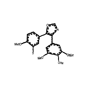 COc1ccc(-c2ocnc2-c2cc(OC)c(OC)c(OC)c2)cc1F